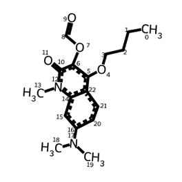 CCCCOc1c(OC=O)c(=O)n(C)c2cc(N(C)C)ccc12